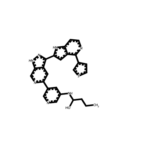 CCCC(O)Nc1cncc(-c2cc3c(-c4cc5c(-c6ccsc6)nccc5[nH]4)n[nH]c3cn2)c1